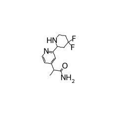 CC(C(N)=O)c1ccnc(C2CC(F)(F)CCN2)c1